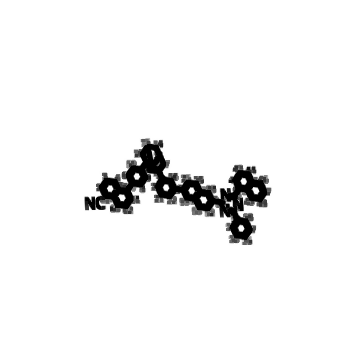 N#Cc1cccc2c(-c3ccc(C45CC6CC(C4)CC(c4cccc(-c7ccc8cc(-c9nc(-c%10ccccc%10)nc(-c%10cccc%11ccccc%10%11)n9)ccc8c7)c4)(C6)C5)cc3)cccc12